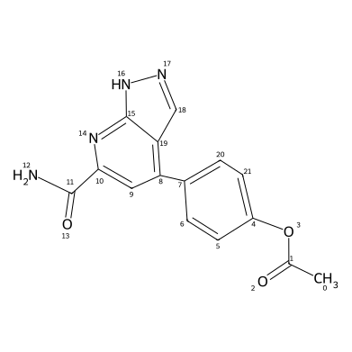 CC(=O)Oc1ccc(-c2cc(C(N)=O)nc3[nH]ncc23)cc1